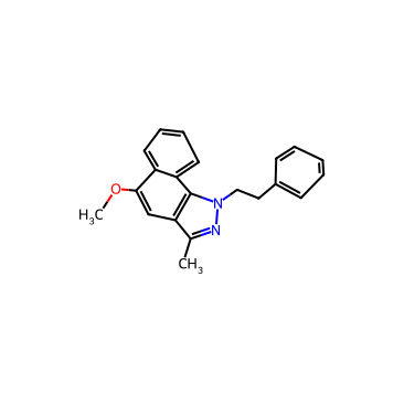 COc1cc2c(C)nn(CCc3ccccc3)c2c2ccccc12